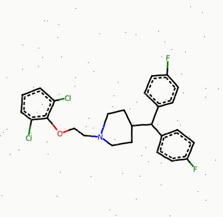 Fc1ccc(C(c2ccc(F)cc2)C2CCN(CCOc3c(Cl)cccc3Cl)CC2)cc1